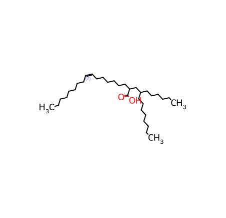 CCCCCCCC/C=C\CCCCCCC(CC(CCCCCC)CCCCCCCC)C(=O)O